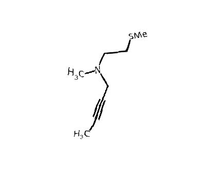 CC#CCN(C)CCSC